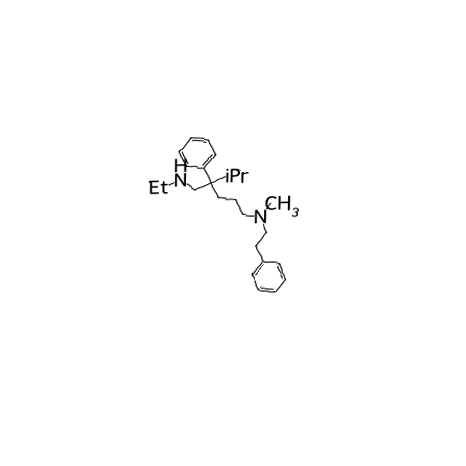 CCNCC(CCCN(C)CCc1ccccc1)(c1ccccc1)C(C)C